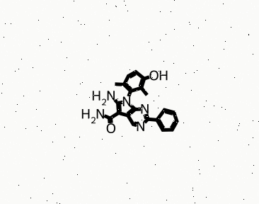 Cc1ccc(O)c(C)c1-n1c(N)c(C(N)=O)c2cnc(-c3ccccc3)nc21